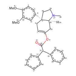 COc1ccc([C@@]23CC=C(OC(=O)C(c4ccccc4)c4ccccc4)C[C@@H]2N(C)CC3)cc1OC